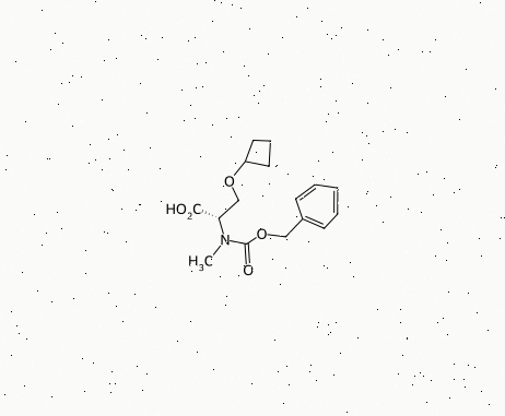 CN(C(=O)OCc1ccccc1)[C@@H](COC1CCC1)C(=O)O